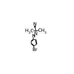 CC(C)(C#N)N=Nc1ccc(Br)cc1